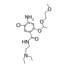 CCN(CC)CCNC(=O)c1cc(Cl)c(N)cc1OC(C)OCCOC